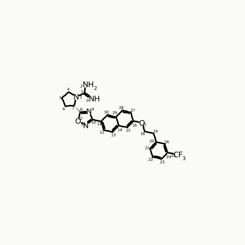 N=C(N)N1CCC[C@H]1c1nc(-c2ccc3cc(OCCc4cccc(C(F)(F)F)c4)ccc3c2)no1